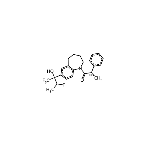 CC(F)C(O)(c1ccc2c(c1)CCCCN2C(=O)[C@H](C)c1ccccc1)C(F)(F)F